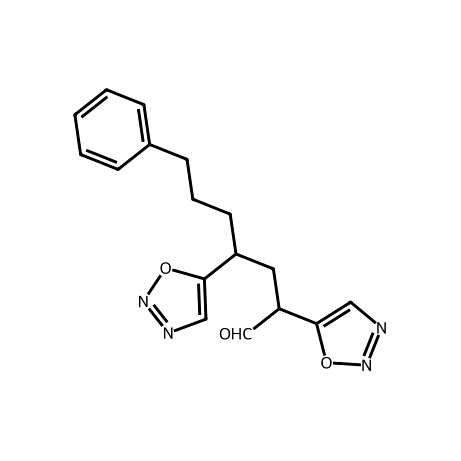 O=CC(CC(CCCc1ccccc1)c1cnno1)c1cnno1